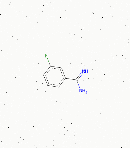 N=C(N)c1cc[c]c(F)c1